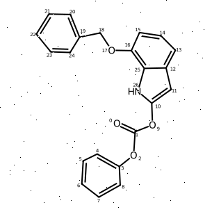 O=C(Oc1ccccc1)Oc1cc2cccc(OCc3ccccc3)c2[nH]1